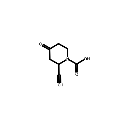 C#CC1CC(=O)CCN1C(=O)O